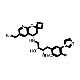 CC(=O)N[C@@H](Cc1ccc(F)c(-n2ccnc2)c1)[C@H](O)CN[C@H]1CC2(CCC2)Oc2ncc(CC(C)(C)C)cc21